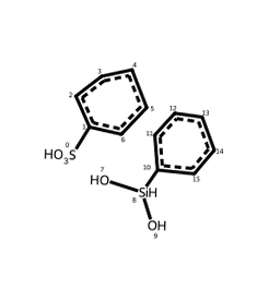 O=S(=O)(O)c1ccccc1.O[SiH](O)c1ccccc1